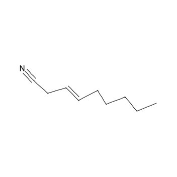 CCCCC/C=C/CC#N